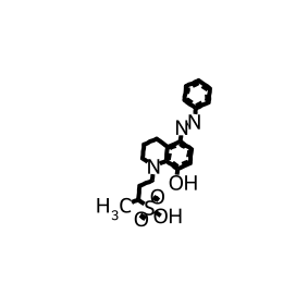 CC(CCN1CCCc2c(N=Nc3ccccc3)ccc(O)c21)S(=O)(=O)O